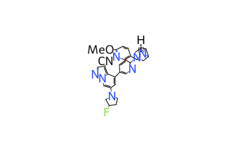 COc1ccc(CN2C3C[C@H]2CN(c2ccc(-c4cc(N5CCC(F)C5)cn5ncc(C#N)c45)cn2)C3)cn1